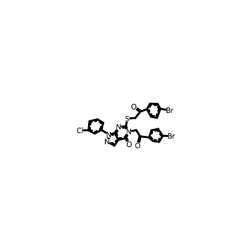 O=C(CSc1nc2c(cnn2-c2cccc(Cl)c2)c(=O)n1CC(=O)c1ccc(Br)cc1)c1ccc(Br)cc1